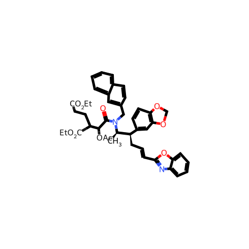 CCOC(=O)CCC(C(=O)OCC)C(OC(C)=O)C(=O)N(Cc1ccc2ccccc2c1)[C@H](C)[C@H](C/C=C/c1nc2ccccc2o1)c1ccc2c(c1)OCO2